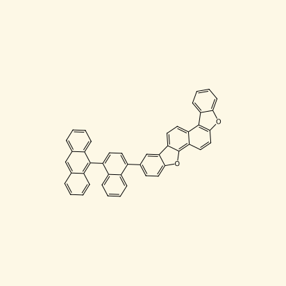 c1ccc2c(-c3ccc(-c4ccc5oc6c(ccc7c6ccc6oc8ccccc8c67)c5c4)c4ccccc34)c3ccccc3cc2c1